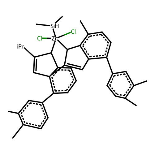 CC1=Cc2c(-c3ccc(C)c(C)c3)ccc(C)c2[CH]1[Zr]([Cl])([Cl])([CH]1C(C(C)C)=Cc2c(-c3ccc(C)c(C)c3)cccc21)[SiH](C)C